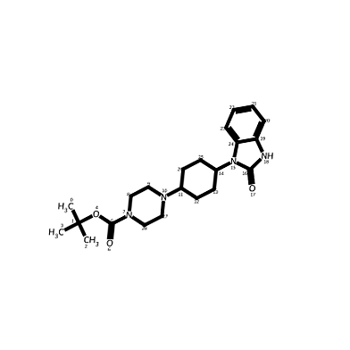 CC(C)(C)OC(=O)N1CCN(C2CCC(n3c(=O)[nH]c4ccccc43)CC2)CC1